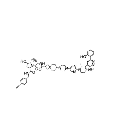 C#Cc1ccc(CNC(=O)[C@@H]2C[C@@H](O)CN2C(=O)[C@@H](NC(=O)[C@H]2CC3(CC[C@H](N4CCN(c5cnc(N6CCc7[nH]c8nnc(-c9ccccc9O)cc8c7[C@H]6C)nc5)CC4)CC3)C2)C(C)(C)C)cc1